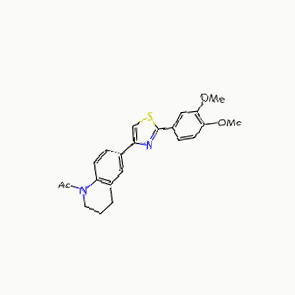 COc1ccc(-c2nc(-c3ccc4c(c3)CCCN4C(C)=O)cs2)cc1OC